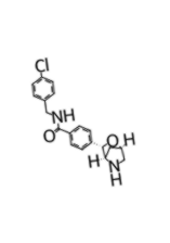 O=C(NCc1ccc(Cl)cc1)c1ccc([C@@H]2O[C@H]3CN[C@@H]2C3)cc1